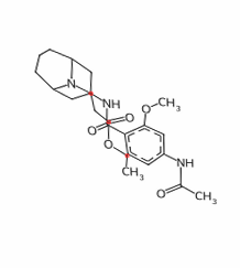 CCOC(=O)CCN1C2CCCC1CC(NC(=O)c1ccc(NC(C)=O)cc1OC)C2